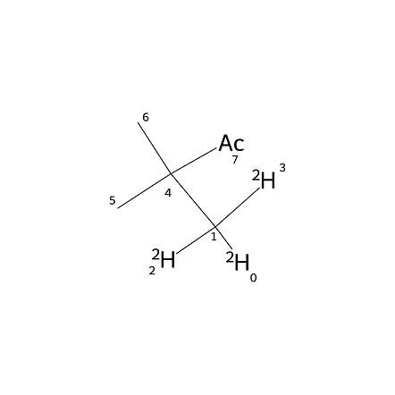 [2H]C([2H])([2H])C(C)(C)C(C)=O